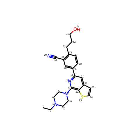 CCN1CCN(c2nc(-c3ccc(CCCO)c(C#N)c3)cc3ccsc23)CC1